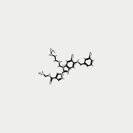 CCOC(=O)c1cnn(-c2nc3cc(SCc4cccc(Cl)c4)c(Cl)cc3n2COCCOC)c1